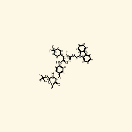 COC(=O)[C@@H](Cc1ccc(NC(=O)[C@@H](NC(=O)OCC2c3ccccc3-c3ccccc32)C2CCC(F)(F)CC2)cc1)NC(=O)OC(C)(C)C